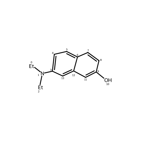 CCN(CC)c1ccc2ccc(O)cc2c1